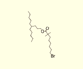 CCCCCC(CCCCC)CCCOC(=O)C(C)(C)CCCCCCBr